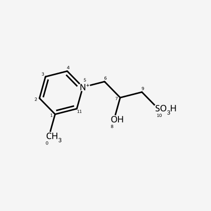 Cc1ccc[n+](CC(O)CS(=O)(=O)O)c1